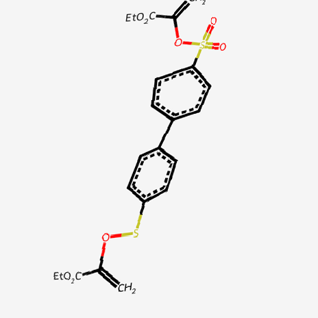 C=C(OSc1ccc(-c2ccc(S(=O)(=O)OC(=C)C(=O)OCC)cc2)cc1)C(=O)OCC